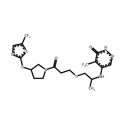 CC(COCCC(=O)N1CCC(Oc2ncc(C(F)(F)F)s2)C1)Nc1cn[nH]c(=O)c1C(F)(F)F